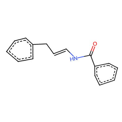 O=C(N/C=C/Cc1ccccc1)c1ccccc1